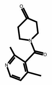 Cc1ccnc(C)c1C(=O)N1CCC(=O)CC1